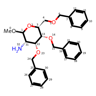 COC1O[C@H](COCc2ccccc2)[C@H](OCc2ccccc2)[C@H](OCc2ccccc2)[C@@H]1N